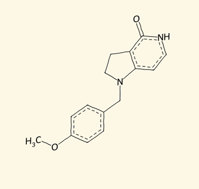 COc1ccc(CN2CCc3c2cc[nH]c3=O)cc1